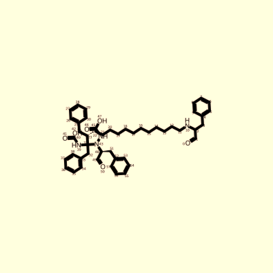 O=CC(Cc1ccccc1)NCCCCCCCCCCCC[C@@H](Cc1ccccc1)C(Cc1ccccc1)(NC(=O)O)N(NC(=O)O)[C@H](C=O)Cc1ccccc1